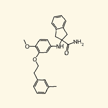 COc1ccc(NC2(C(N)=O)Cc3ccccc3C2)cc1OCCc1cccc(C)c1